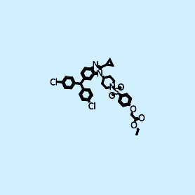 CCOC(=O)COc1ccc(S(=O)(=O)N2CCC(n3c(C4CC4)nc4ccc(C(c5ccc(Cl)cc5)c5ccc(Cl)cc5)cc43)CC2)cc1